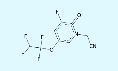 N#CCn1cc(OC(F)(F)C(F)F)cc(F)c1=O